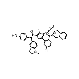 Cc1c(C(=O)N(c2ccc(O)cc2)c2cnc3c(c2)CCN3C)cc(-c2cc(Cl)ccc2C(=O)N2Cc3ccccc3C[C@H]2C(F)(F)F)n1C